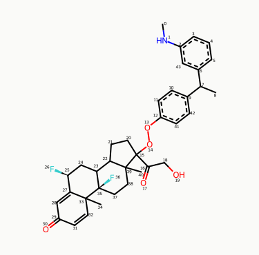 CNc1cccc(C(C)c2ccc(OOC3(C(=O)CO)CCC4C5C[C@H](F)C6=CC(=O)C=CC6(C)[C@@]5(F)CCC43C)cc2)c1